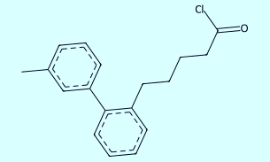 Cc1cccc(-c2ccccc2CCCCC(=O)Cl)c1